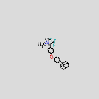 CN(C)[C@@H](c1ccc(Oc2ccc(C34CC5CC(CC(C5)C3)C4)cc2)cc1)C(F)(F)F